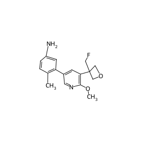 COc1ncc(-c2cc(N)ccc2C)cc1C1(CF)COC1